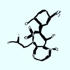 O=S1(=O)C(c2cc(C(F)(F)F)ccc2Cl)=C(O)c2c(ncc[n+]2[O-])N1CC(F)F